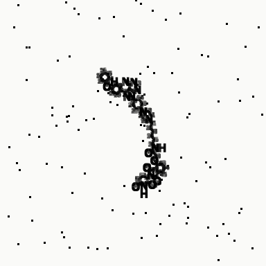 Nc1ncnc2c1c(-c1ccc(Oc3ccccc3)cc1)nn2[C@H]1CC[C@H](N2CCN(CCCCCCNC(=O)COc3cccc4c3C(=O)N(C3CCC(=O)NC3=O)C4=O)CC2)CC1